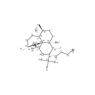 C[C@H]1CC[C@H]2[C@H](C)[C@@](OCCBr)(C(F)(F)F)O[C@H]3O[C@]4(C)CC[C@@H]1[C@@]32OO4